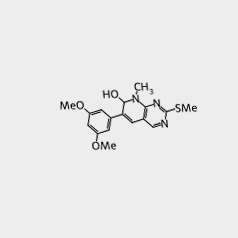 COc1cc(OC)cc(C2=Cc3cnc(SC)nc3N(C)C2O)c1